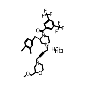 COCC1CN(CC#CCN2CCN(C(=O)c3cc(C(F)(F)F)cc(C(F)(F)F)c3)[C@H](Cc3ccc(C)c(C)c3)C2)CCO1.Cl.Cl